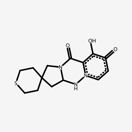 O=C1c2c(O)c(=O)ccn2NC2CC3(CCSCC3)CN12